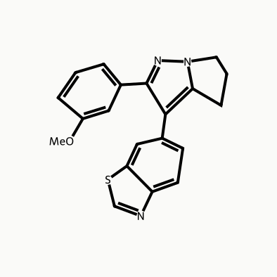 COc1cccc(-c2nn3c(c2-c2ccc4ncsc4c2)CCC3)c1